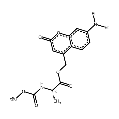 CCN(CC)c1ccc2c(COC(=O)[C@H](C)NC(=O)OC(C)(C)C)cc(=O)oc2c1